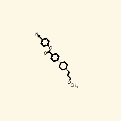 COC/C=C/[C@H]1CC[C@H](c2ccc(C(=O)Oc3ccc(C#N)cc3)cc2)CC1